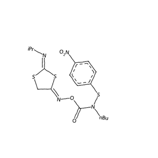 CCCCN(Sc1ccc([N+](=O)[O-])cc1)C(=O)ON=C1CSC(=NC(C)C)S1